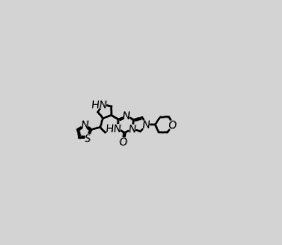 CC(c1nccs1)C1CNCC1C1=NC2=CN(C3CCOCC3)CN2C(=O)N1